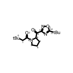 CC(C)(C)CC(=O)N1CCCC1C(=O)c1noc(C(C)(C)C)n1